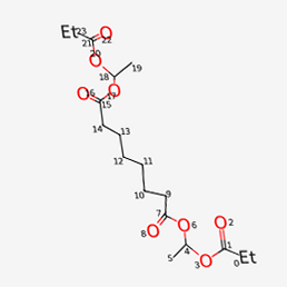 CCC(=O)OC(C)OC(=O)CCCCCCC(=O)OC(C)OC(=O)CC